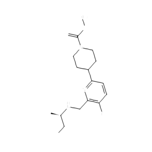 CC(C)[C@H](CO)NCc1nc(C2CCN(C(=O)OC(C)(C)C)CC2)ccc1F